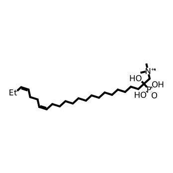 CC/C=C\CC/C=C\CCCCCCCCCCCCCCC(O)(C[N+](C)(C)C)P(=O)(O)O